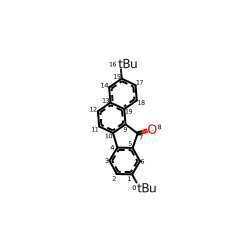 CC(C)(C)c1ccc2c(c1)C(=O)c1c-2ccc2cc(C(C)(C)C)ccc12